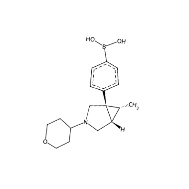 C[C@@H]1[C@@H]2CN(C3CCOCC3)C[C@]12c1ccc(B(O)O)cc1